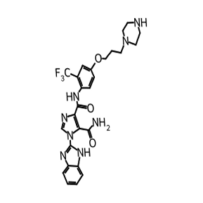 NC(=O)c1c(C(=O)Nc2ccc(OCCCN3CCNCC3)cc2C(F)(F)F)ncn1-c1nc2ccccc2[nH]1